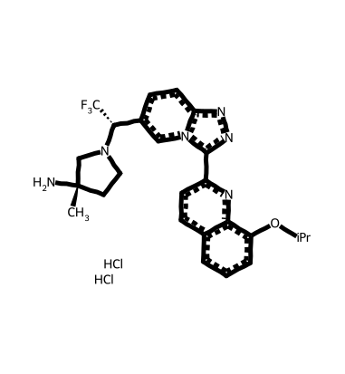 CC(C)Oc1cccc2ccc(-c3nnc4ccc([C@H](N5CC[C@](C)(N)C5)C(F)(F)F)cn34)nc12.Cl.Cl